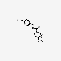 O=CC1CCN(C(=O)OCc2ccc([N+](=O)[O-])cc2)CC1(F)F